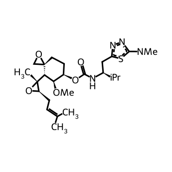 CNc1nnc(C[C@H](NC(=O)O[C@@H]2CC[C@]3(CO3)[C@@H]([C@@]3(C)O[C@@H]3CC=C(C)C)[C@@H]2OC)C(C)C)s1